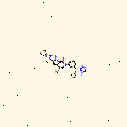 Cn1cnnc1[C@@H](c1cccc(-n2cc(Br)c3cc(CN[C@@H]4CCOC4)[nH]c3c2=O)c1)C1CCC1